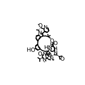 CCn1c(-c2cccnc2[C@H](C)OC)c2c3cc(ccc31)-c1cc(O)cc(c1)C[C@H](NC(=O)[C@H](C(C)C)N(C)C(=O)CN(C)C(=O)[C@@H]1N[C@H]1C1COC1)C(=O)N1CCC[C@H](N1)C(=O)OCC(C)(C)C2